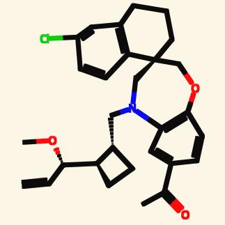 C=C[C@H](OC)[C@@H]1CC[C@H]1CN1C[C@@]2(CCCc3cc(Cl)ccc32)COc2ccc(C(C)=O)cc21